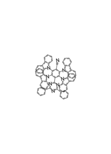 N#Cc1c(-n2c3ccccc3c3ccccc32)c(-n2c3ccccc3c3ccccc32)c(-c2nc(-c3ccccc3)nc(-c3ccccc3)n2)c(-n2c3ccccc3c3ccccc32)c1-n1c2ccccc2c2ccccc21